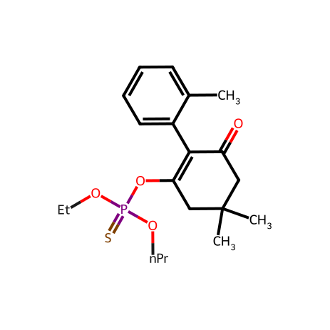 CCCOP(=S)(OCC)OC1=C(c2ccccc2C)C(=O)CC(C)(C)C1